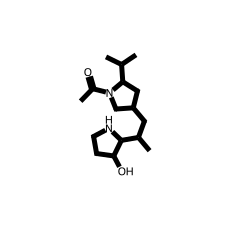 CC(=O)N1CC(CC(C)C2NCCC2O)CC1C(C)C